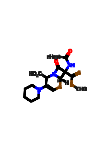 CCCCCCCC(=O)NC1(C(=S)SC=O)C(=O)N2C(C(=O)O)C(N3CCCCC3)=CS[C@H]21